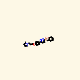 C[C@@H]1CCCN1CCCOc1ccc(-c2ccc([S+]([O-])CC3C=CC=CC3)nn2)cc1